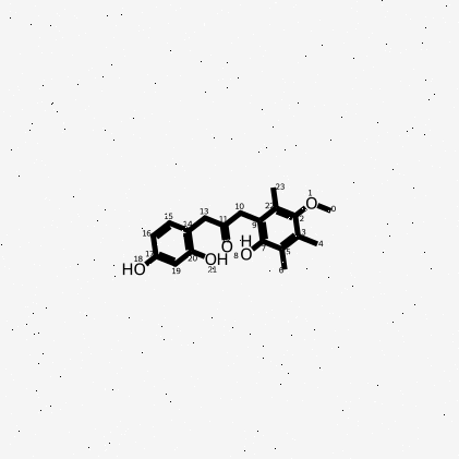 COc1c(C)c(C)c(O)c(CC(=O)Cc2ccc(O)cc2O)c1C